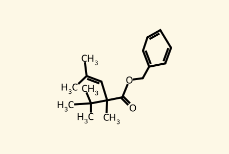 CC(C)=CC(C)(C(=O)OCc1ccccc1)C(C)(C)C